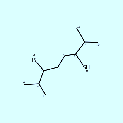 CC(C)C(S)CCC(S)C(C)C